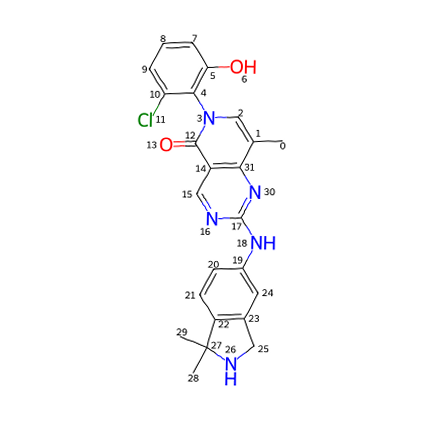 Cc1cn(-c2c(O)cccc2Cl)c(=O)c2cnc(Nc3ccc4c(c3)CNC4(C)C)nc12